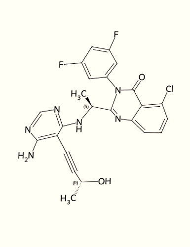 C[C@H](Nc1ncnc(N)c1C#C[C@@H](C)O)c1nc2cccc(Cl)c2c(=O)n1-c1cc(F)cc(F)c1